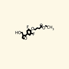 CCOC(=O)CCCOc1c(F)cc(-c2occc2CO)cc1F